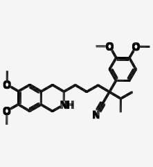 COc1ccc(C(C#N)(CCCC2Cc3cc(OC)c(OC)cc3CN2)C(C)C)cc1OC